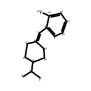 CC(C)C1CCC(=Cc2ccccc2F)CC1